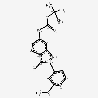 COc1cc(-n2nc3cc(NC(=O)OC(C)(C)C)ccc3c2Cl)ccn1